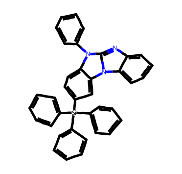 c1ccc(-n2c3ccc([Si](c4ccccc4)(c4ccccc4)c4ccccc4)cc3n3c4ccccc4nc23)cc1